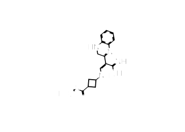 COC(=O)C1CC(N/C=C(\C(C)=N)C2=Nc3ccccc3NC2)C1